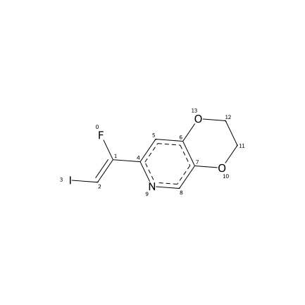 F/C(=C\I)c1cc2c(cn1)OCCO2